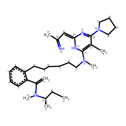 C=C(c1ccccc1CCCCCCN(C)C1=C(C)C(N2CCCC2)=N/C(=C/C(C)=N)N1)N(C)[C@H](C)CC